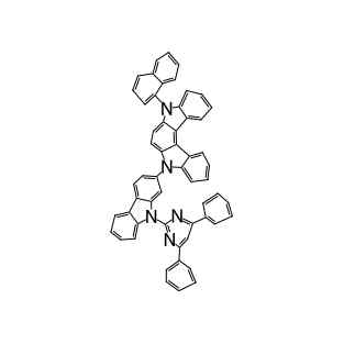 c1ccc(-c2cc(-c3ccccc3)nc(-n3c4ccccc4c4ccc(-n5c6ccccc6c6c7c8ccccc8n(-c8cccc9ccccc89)c7ccc65)cc43)n2)cc1